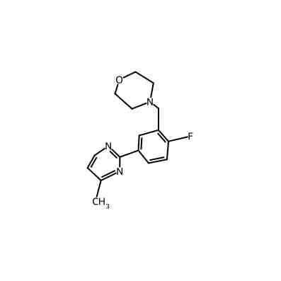 Cc1ccnc(-c2ccc(F)c(CN3CCOCC3)c2)n1